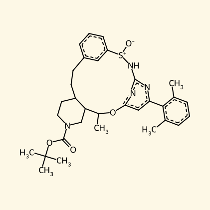 Cc1cccc(C)c1-c1cc2nc(n1)N[S+]([O-])c1cccc(c1)CCC1CCN(C(=O)OC(C)(C)C)CC1C(C)O2